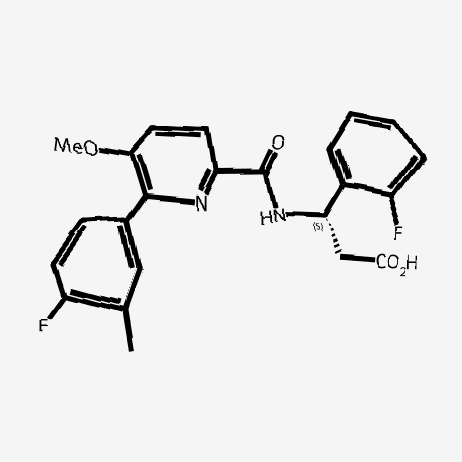 COc1ccc(C(=O)N[C@@H](CC(=O)O)c2ccccc2F)nc1-c1ccc(F)c(C)c1